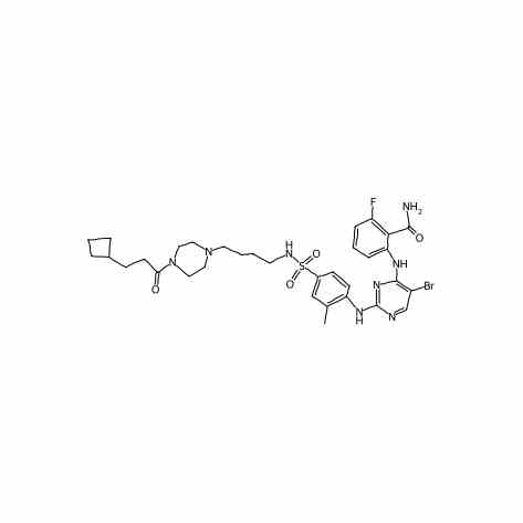 Cc1cc(S(=O)(=O)NCCCCN2CCN(C(=O)CCC3CCC3)CC2)ccc1Nc1ncc(Br)c(Nc2cccc(F)c2C(N)=O)n1